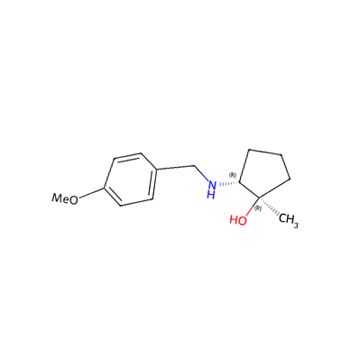 COc1ccc(CN[C@@H]2CCC[C@@]2(C)O)cc1